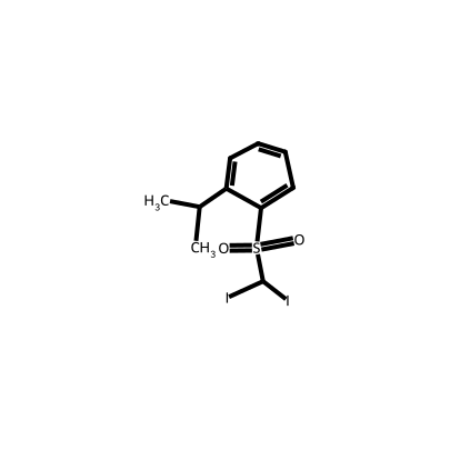 CC(C)c1ccccc1S(=O)(=O)C(I)I